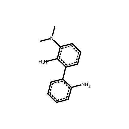 CN(C)c1cccc(-c2ccccc2N)c1N